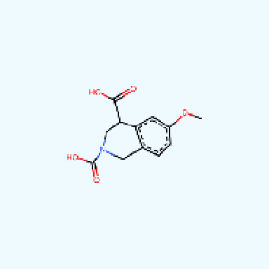 COc1ccc2c(c1)C(C(=O)O)CN(C(=O)O)C2